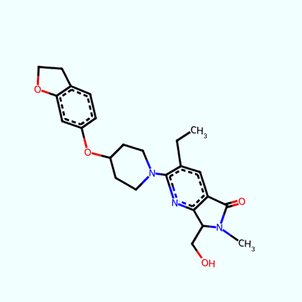 CCc1cc2c(nc1N1CCC(Oc3ccc4c(c3)OCC4)CC1)C(CO)N(C)C2=O